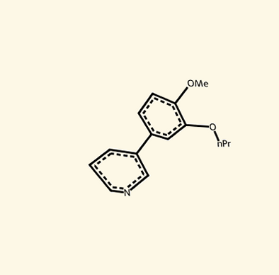 CCCOc1cc(-c2cccnc2)ccc1OC